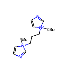 CCCC[N+]1(CCC[N+]2(CCCC)C=CN=C2)C=CN=C1